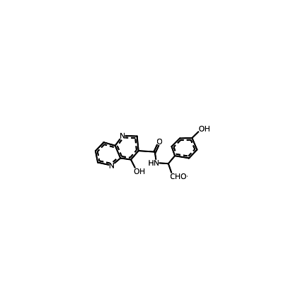 O=[C]C(NC(=O)c1cnc2cccnc2c1O)c1ccc(O)cc1